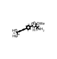 COC(=O)C(NC(=O)c1ccc(C#CC#C[C@](C)(O)CO)cc1)C(C)(C)N